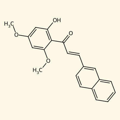 COc1cc(O)c(C(=O)/C=C/c2ccc3ccccc3c2)c(OC)c1